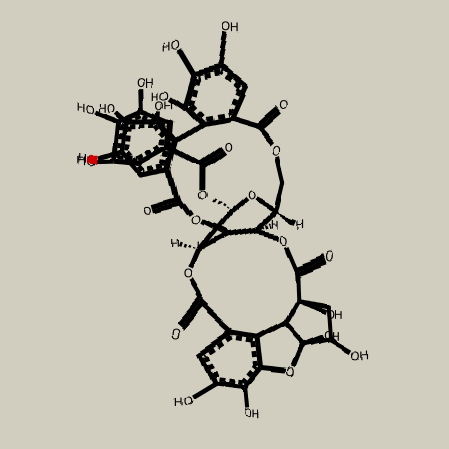 O=C(O[C@@H]1O[C@@H]2COC(=O)c3cc(O)c(O)c(O)c3-c3c(cc(O)c(O)c3O)C(=O)O[C@@H]3[C@H]1OC(=O)c1cc(O)c(O)c4c1C1C(O)(CC(O)C1(O)O4)C(=O)O[C@@H]32)c1cc(O)c(O)c(O)c1